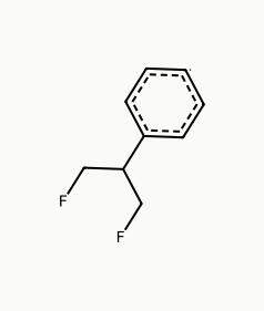 FCC(CF)c1cc[c]cc1